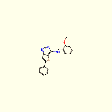 COc1ccccc1CNc1ncnc2cc(-c3ccccc3)sc12